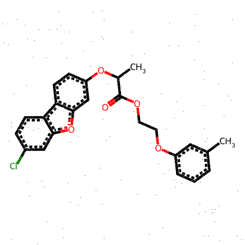 Cc1cccc(OCCOC(=O)C(C)Oc2ccc3c(c2)oc2cc(Cl)ccc23)c1